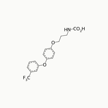 O=C(O)NCCCOc1ccc(Oc2cccc(C(F)(F)F)c2)cc1